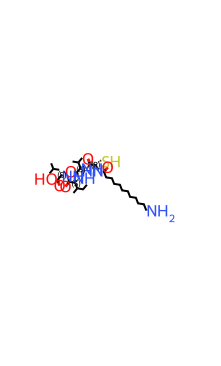 CCC(C)[C@H](NC(=O)[C@@H](NC(=O)[C@H](CS)NC(=O)CCCCCCCCCCCN)C(C)C)C(=O)N[C@@H](CC(C)C)C(=O)O